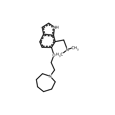 CN(C)Cc1c(OCCN2CCCCCC2)ccc2[c]c[nH]c12